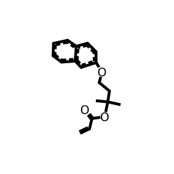 C=CC(=O)OC(C)(C)CCOc1ccc2ccccc2c1